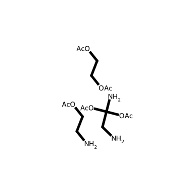 CC(=O)OC(N)(CN)OC(C)=O.CC(=O)OCCN.CC(=O)OCCOC(C)=O